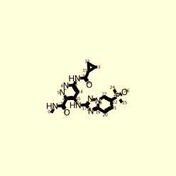 CNC(=O)c1nnc(NC(=O)C2CC2)cc1Nc1nc2ccc(P(C)(C)=O)cn2n1